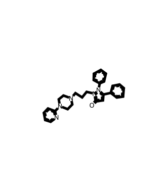 O=c1cc(-c2ccccc2)n(-c2ccccc2)n1CCCN1CCN(c2ccccn2)CC1